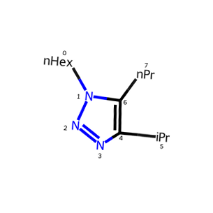 CCCCCCn1nnc(C(C)C)c1CCC